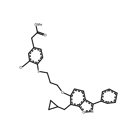 COC(=O)Cc1ccc(SCCCOc2ccc3c(-c4ccccc4)noc3c2CC2CC2)c(Cl)c1